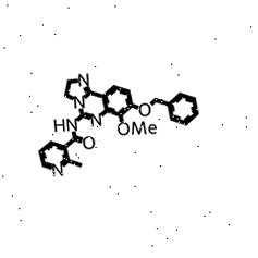 COc1c(OCc2ccccc2)ccc2c1N=C(NC(=O)c1cccnc1C)N1CCN=C21